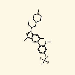 CC[C@@H](CN1CCN(C)CC1)n1cc(C)c2nc(-c3ccc(OC(F)(F)F)cc3OC)c(C)cc21